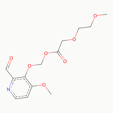 COCCOCC(=O)OCOc1c(OC)ccnc1C=O